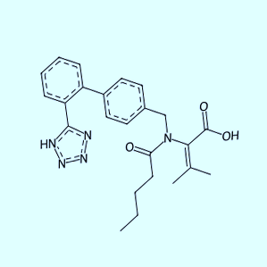 CCCCC(=O)N(Cc1ccc(-c2ccccc2-c2nnn[nH]2)cc1)C(C(=O)O)=C(C)C